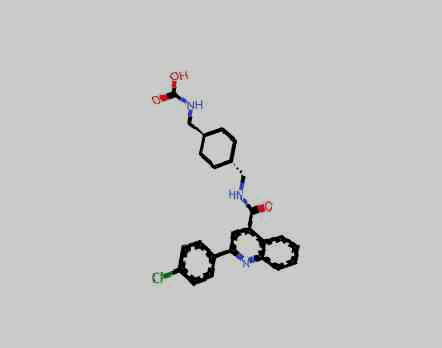 O=C(O)NC[C@H]1CC[C@H](CNC(=O)c2cc(-c3ccc(Cl)cc3)nc3ccccc23)CC1